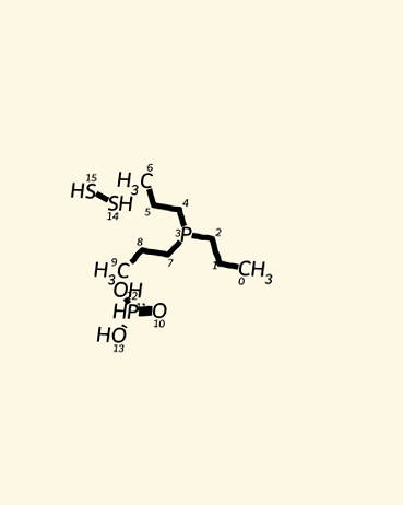 CCCP(CCC)CCC.O=[PH](O)O.SS